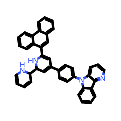 C1=CNC(C2C=C(c3ccc(-n4c5ccccc5c5ncccc54)cc3)C=C(c3cc4ccccc4c4ccccc34)N2)C=C1